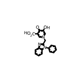 O=C(O)c1cn(Cc2nc3ccccc3n2-c2ccccc2)cc(O)c1=O